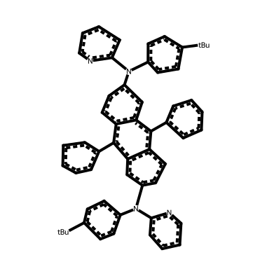 CC(C)(C)c1ccc(N(c2ccc3c(-c4ccccc4)c4cc(N(c5ccc(C(C)(C)C)cc5)c5ccccn5)ccc4c(-c4ccccc4)c3c2)c2ccccn2)cc1